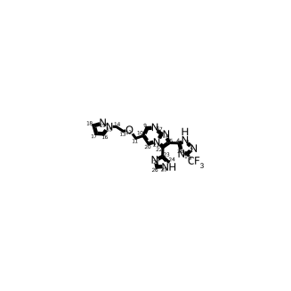 FC(F)(F)c1n[nH]c(-c2nc3ncc(COCCn4cccn4)cn3c2-c2c[nH]cn2)n1